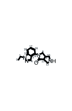 CCn1ncc2c(N3CC4CNCC4C3=O)cccc21